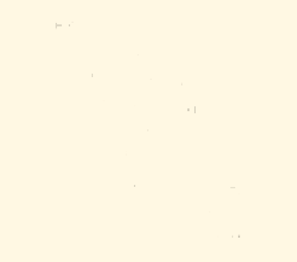 C=CC(=O)C(=C)C(=O)C(=C)C(=O)C(=C)C(=O)C(=C)C(=O)C(=C)C=O